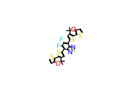 CC1(C)Oc2ccsc2-c2sc(-c3c(F)c(F)c(-c4cc5c(s4)-c4sccc4OC5(C)C)c4nsnc34)cc21